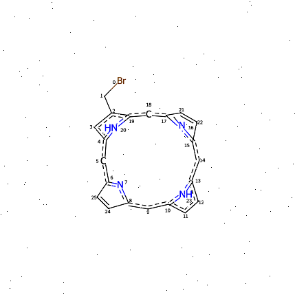 BrCc1cc2cc3nc(cc4ccc(cc5nc(cc1[nH]2)C=C5)[nH]4)C=C3